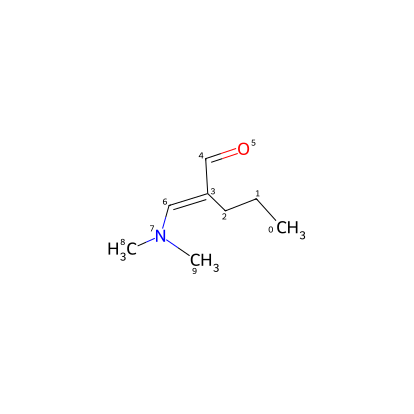 CCC/C(C=O)=C\N(C)C